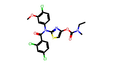 CCN(C)C(=O)Oc1csc(N(C(=O)c2ccc(Cl)cc2Cl)c2ccc(Cl)c(OC)c2)n1